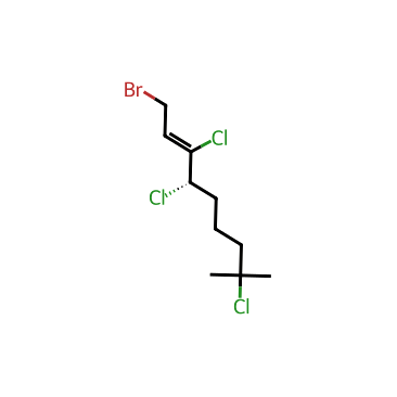 CC(C)(Cl)CCC[C@H](Cl)C(Cl)=CCBr